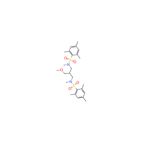 COCC(CN(C)S(=O)(=O)c1c(C)cc(C)cc1C)CN(C)S(=O)(=O)c1c(C)cc(C)cc1C